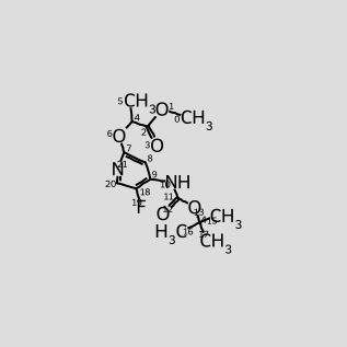 COC(=O)C(C)Oc1cc(NC(=O)OC(C)(C)C)c(F)cn1